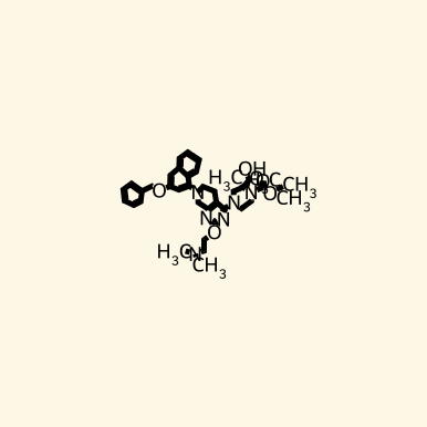 CN(C)CCOc1nc2c(c(N3CCN(C(=O)OC(C)(C)C)C(C)(C(=O)O)C3)n1)CCN(c1cc(OCc3ccccc3)cc3ccccc13)C2